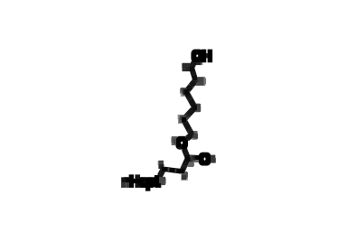 CCCCCCCCCC(=O)OCCCCCCO